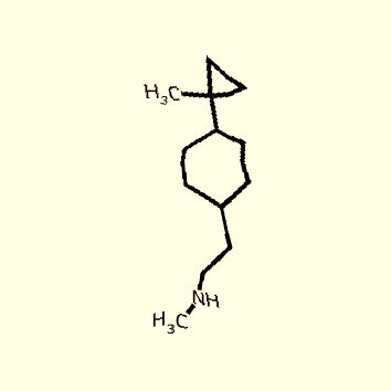 CNCCC1CCC(C2(C)CC2)CC1